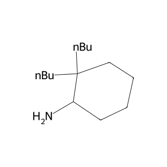 CCCCC1(CCCC)CCCCC1N